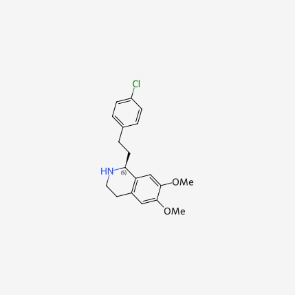 COc1cc2c(cc1OC)[C@H](CCc1ccc(Cl)cc1)NCC2